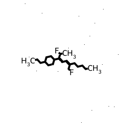 CCCCC/C(=C/C=C(\C(C)F)C1CCC(CCC)CC1)CF